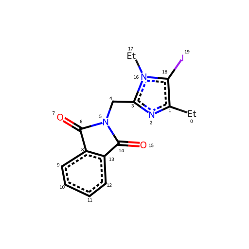 CCc1nc(CN2C(=O)c3ccccc3C2=O)n(CC)c1I